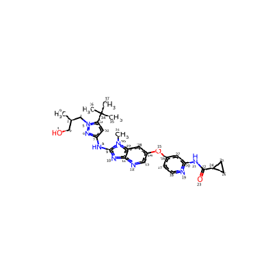 CC(CO)Cn1nc(Nc2nc3ncc(Oc4ccnc(NC(=O)C5CC5)c4)cc3n2C)cc1C(C)(C)C